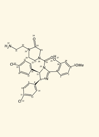 COc1ccc(C2=N[C@@H](c3ccc(Cl)cc3)[C@@H](c3ccc(Cl)cc3)N2C(=O)N2CCN(CCN)C(=O)C2)c(O)c1